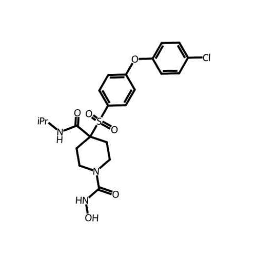 CC(C)NC(=O)C1(S(=O)(=O)c2ccc(Oc3ccc(Cl)cc3)cc2)CCN(C(=O)NO)CC1